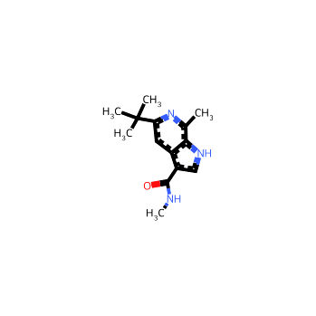 CNC(=O)c1c[nH]c2c(C)nc(C(C)(C)C)cc12